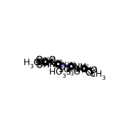 CS(=O)(=O)Cc1ccc(C(=O)Nc2ccc(/C=C/c3ccc(NC(=O)c4ccc(S(C)(=O)=O)cc4)cc3S(=O)(=O)O)c(S(=O)(=O)O)c2)cc1